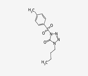 CCCCn1nnn(S(=O)(=O)c2ccc(C)cc2)c1=O